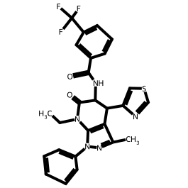 CCN1C(=O)C(NC(=O)c2cccc(C(F)(F)F)c2)C(c2cscn2)c2c(C)nn(-c3ccccc3)c21